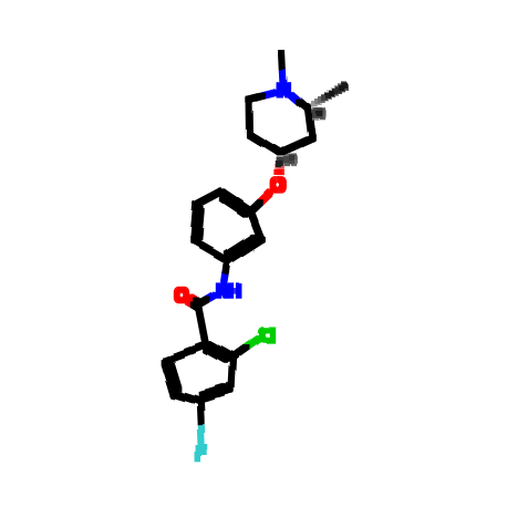 C[C@@H]1C[C@H](Oc2cccc(NC(=O)c3ccc(F)cc3Cl)c2)CCN1C